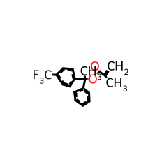 C=C(C)C(=O)OC(C)(c1ccccc1)c1ccc(C(F)(F)F)cc1